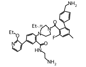 CCOc1ncccc1-c1ccc(N2CCN(C(=O)c3c(F)cc(C)cc3-c3ccc(CN)cc3)C[C@H]2CC)c(C(=O)NCCN)c1